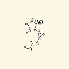 CCCCC1CC1C1=C(C)CCC1=O